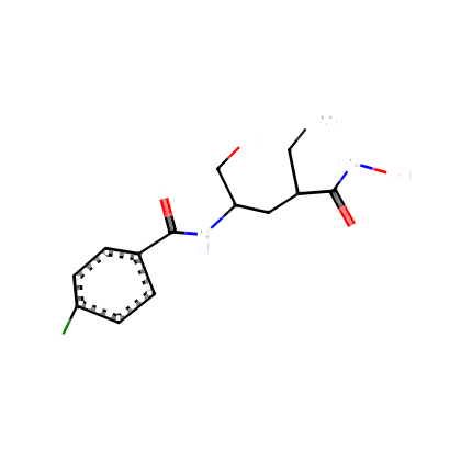 COCC(CC(CO)NC(=O)c1ccc(Cl)cc1)C(=O)NO